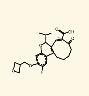 CC(C)C1Oc2cc(OCC3COC3)c(F)cc2C2=C1/C=C(/C(=O)O)C(=O)CCCC2